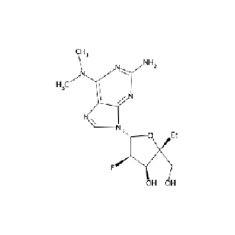 CC[C@]1(CO)O[C@@H](n2cnc3c(N(C)C)nc(N)nc32)[C@H](F)[C@@H]1O